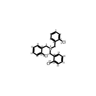 Clc1ccccc1CN(Cc1ccccc1Cl)Cc1ccccc1Cl